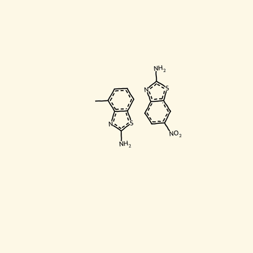 Cc1cccc2sc(N)nc12.Nc1nc2ccc([N+](=O)[O-])cc2s1